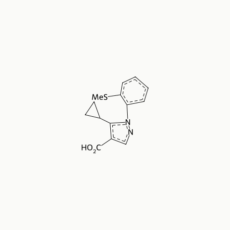 CSc1ccccc1-n1ncc(C(=O)O)c1C1CC1